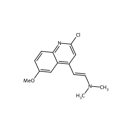 COc1ccc2nc(Cl)cc(C=CN(C)C)c2c1